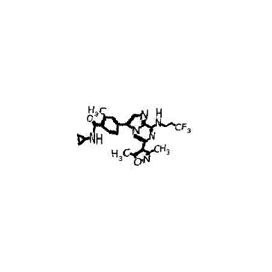 Cc1cc(-c2cnc3c(NCCC(F)(F)F)nc(-c4c(C)noc4C)cn23)ccc1C(=O)NC1CC1